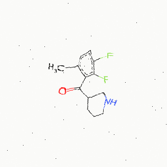 Cc1ccc(F)c(F)c1C(=O)C1CCCNC1